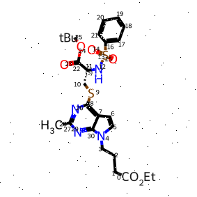 CCOC(=O)CCCn1ccc2c(SC[C@@H](NS(=O)(=O)c3ccccc3)C(=O)OC(C)(C)C)nc(C)nc21